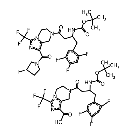 CC(C)(C)OC(=O)NC(CC(=O)N1CCn2c(C(F)(F)F)nc(C(=O)N3CC[C@H](F)C3)c2C1)Cc1cc(F)c(F)cc1F.CC(C)(C)OC(=O)NC(CC(=O)N1CCn2c(C(F)(F)F)nc(C(=O)O)c2C1)Cc1cc(F)c(F)cc1F